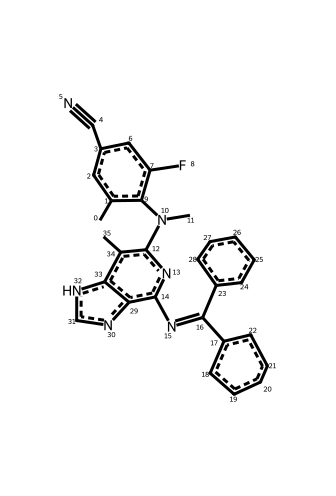 Cc1cc(C#N)cc(F)c1N(C)c1nc(N=C(c2ccccc2)c2ccccc2)c2nc[nH]c2c1C